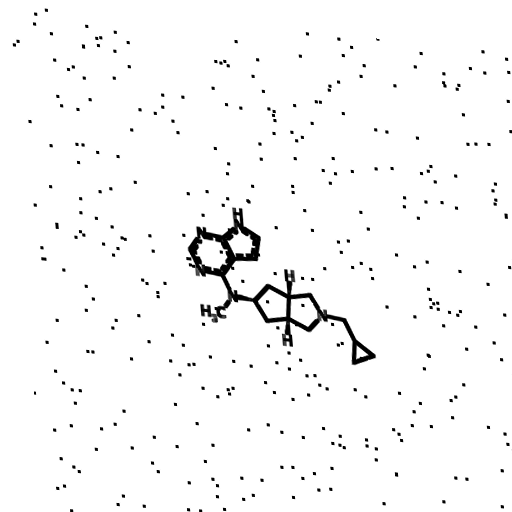 CN(c1ncnc2[nH]ccc12)[C@H]1C[C@@H]2CN(CC3CC3)C[C@@H]2C1